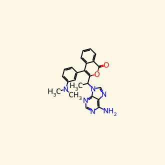 CC(c1oc(=O)c2ccccc2c1-c1cccc(N(C)C)c1)n1cnc2c(N)ncnc21